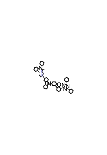 C=C/C(=C\C=C(/C)N(c1ccccc1)c1ccccc1C)c1ccc2c(c1)c1ccccc1n2-c1ccc2oc3c(-c4nc(-c5ccccc5)nc(-c5ccccc5)n4)cccc3c2c1